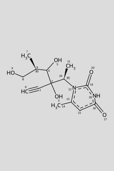 C#CC(O)(C(O)[C@H](C)CO)[C@@H](C)n1c(C)cc(=O)[nH]c1=O